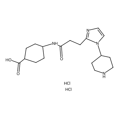 Cl.Cl.O=C(CCc1nccn1C1CCNCC1)NC1CCC(C(=O)O)CC1